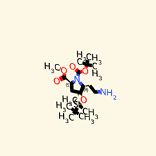 COC(=O)[C@@H]1C[C@@H](O[Si](C)(C)C(C)(C)C)[C@@H](CCN)N1C(=O)OC(C)(C)C